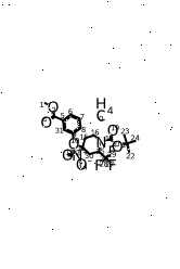 C.COC(=O)c1cccc(OC2([N+](=O)[O-])CCN(C(=O)OC(C)(C)C)C(C(F)(F)F)C2)c1